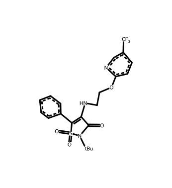 CC(C)(C)N1C(=O)C(NCCOc2ccc(C(F)(F)F)cn2)=C(c2ccccc2)S1(=O)=O